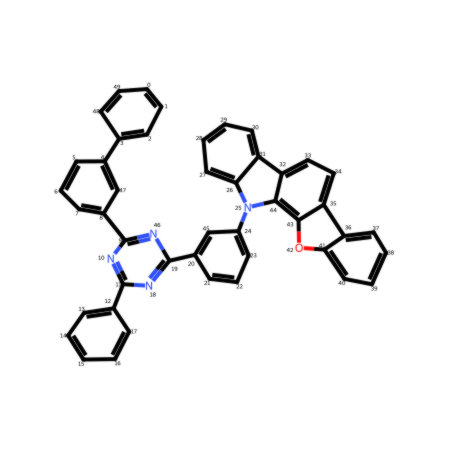 c1ccc(-c2cccc(-c3nc(-c4ccccc4)nc(-c4cccc(-n5c6ccccc6c6ccc7c8ccccc8oc7c65)c4)n3)c2)cc1